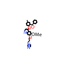 COc1cc2c(Oc3ccc(C)cc3C(=O)c3ccccc3)ccnc2cc1OCCCn1ccnc1